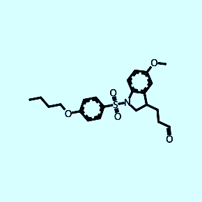 CCCCOc1ccc(S(=O)(=O)N2CC(CCC=O)c3cc(OC)ccc32)cc1